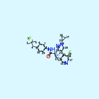 CC(C)(F)Cc1ccc(NC(=O)/C=C/c2cncc(F)c2-c2cnn(C3CC3)c2)cc1